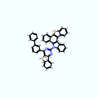 c1ccc(-c2cccc(-c3nc(-n4c5ccccc5c5c6c7ccccc7sc6c6ccccc6c54)nc4c3sc3ccccc34)c2)cc1